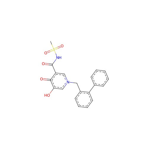 CS(=O)(=O)NC(=O)c1cn(Cc2ccccc2-c2ccccc2)cc(O)c1=O